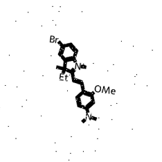 CCC1(C)C(/C=C/c2ccc(N(C)C)cc2OC)=[N+](C)c2ccc(Br)cc21